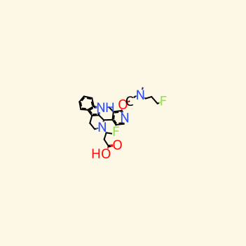 Cc1c(OCCN(C)CCCF)ncc(F)c1C1c2[nH]c3ccccc3c2CCN1C(C)CC(=O)O